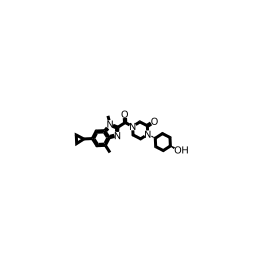 Cc1cc(C2CC2)cc2c1nc(C(=O)N1CCN([C@H]3CC[C@H](O)CC3)C(=O)C1)n2C